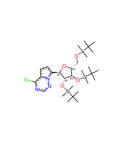 CC(C)(C)[Si](C)(C)OC[C@H]1O[C@H](c2ccc3c(Cl)ncnn23)[C@@H](O[Si](C)(C)C(C)(C)C)[C@@H]1O[Si](C)(C)C(C)(C)C